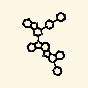 c1ccc(-c2ccc(-c3nc(-n4c5ccccc5c5c6oc7cc(-c8ccccc8)c8ccccc8c7c6ccc54)nc4c3oc3ccccc34)cc2)cc1